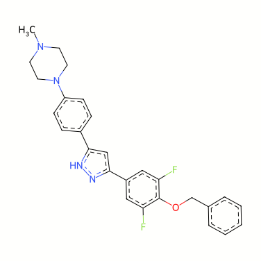 CN1CCN(c2ccc(-c3cc(-c4cc(F)c(OCc5ccccc5)c(F)c4)n[nH]3)cc2)CC1